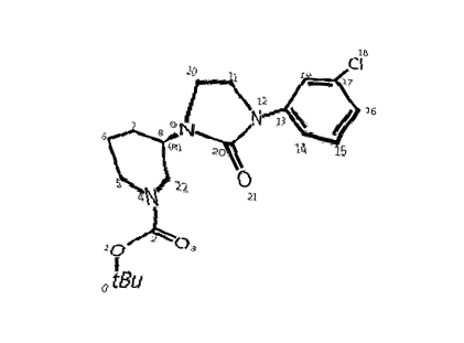 CC(C)(C)OC(=O)N1CCC[C@@H](N2CCN(c3cccc(Cl)c3)C2=O)C1